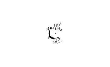 C.CCCCO.Cl.Cl